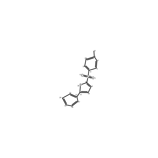 Cc1ccc(S(=O)(=O)c2ccc(-c3ccccc3)s2)cc1